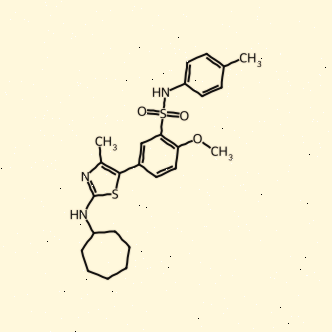 COc1ccc(-c2sc(NC3CCCCCC3)nc2C)cc1S(=O)(=O)Nc1ccc(C)cc1